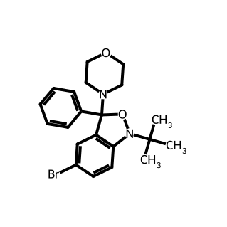 CC(C)(C)N1OC(c2ccccc2)(N2CCOCC2)c2cc(Br)ccc21